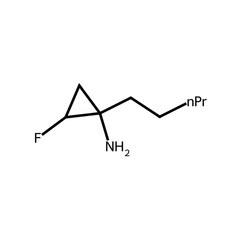 CCCCCC1(N)CC1F